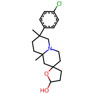 CC1(c2ccc(Cl)cc2)CCC2(C)CC3(CCC(O)O3)CCN2C1